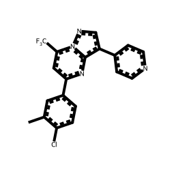 Cc1cc(-c2cc(C(F)(F)F)n3ncc(-c4ccncc4)c3n2)ccc1Cl